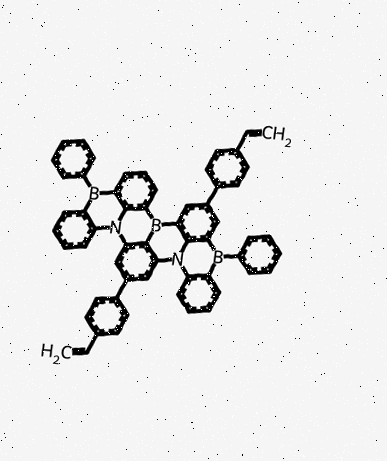 C=Cc1ccc(-c2cc3c4c(c2)B2c5cccc6c5N(c5ccccc5B6c5ccccc5)c5cc(-c6ccc(C=C)cc6)cc(c52)N4c2ccccc2B3c2ccccc2)cc1